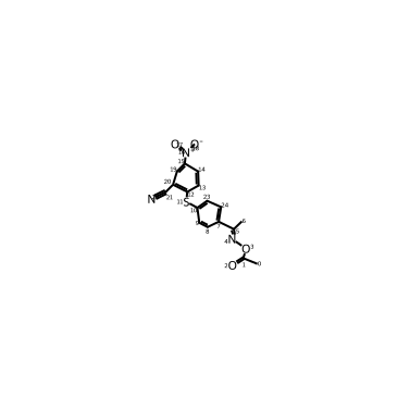 CC(=O)O/N=C(\C)c1ccc(Sc2ccc([N+](=O)[O-])cc2C#N)cc1